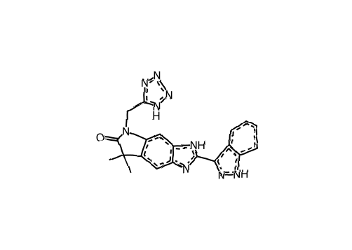 CC1(C)C(=O)N(Cc2nnn[nH]2)c2cc3[nH]c(-c4n[nH]c5ccccc45)nc3cc21